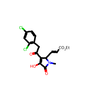 CCOC(=O)/C=C/C1C(C(=O)Cc2ccc(Cl)cc2Cl)=C(O)C(=O)N1C